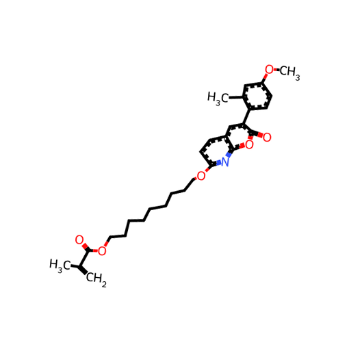 C=C(C)C(=O)OCCCCCCCCCOc1ccc2cc(-c3ccc(OC)cc3C)c(=O)oc2n1